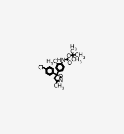 CC1=NOC(c2ccc(Cl)cc2)(c2ccc(NC(=O)OC(C)(C)C)c(C)c2)C1